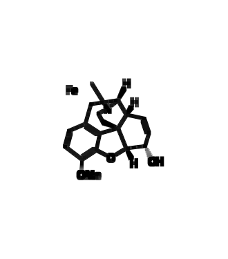 COc1ccc2c3c1O[C@H]1[C@@H](O)C=C[C@H]4[C@@H](C2)N(C)CC[C@@]341.[Fe]